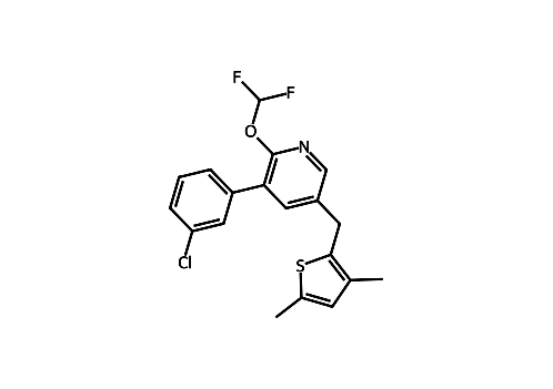 Cc1cc(C)c(Cc2cnc(OC(F)F)c(-c3cccc(Cl)c3)c2)s1